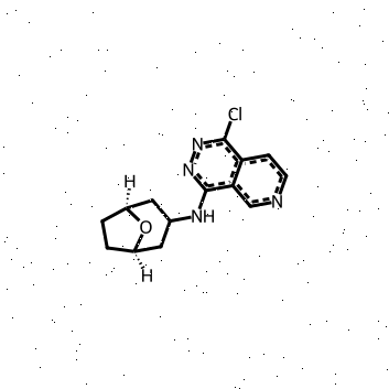 Clc1nnc(NC2C[C@H]3CC[C@@H](C2)O3)c2cnccc12